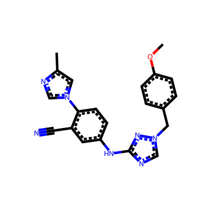 COc1ccc(Cn2cnc(Nc3ccc(-n4cnc(C)c4)c(C#N)c3)n2)cc1